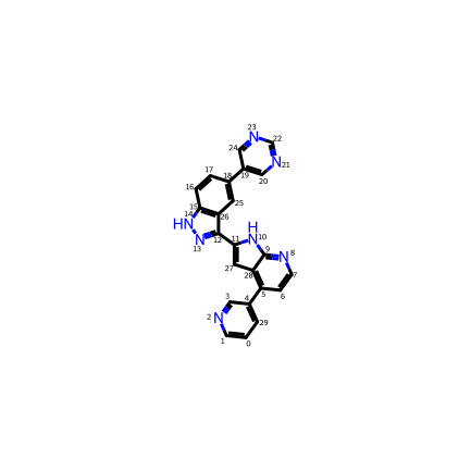 c1cncc(-c2ccnc3[nH]c(-c4n[nH]c5ccc(-c6cncnc6)cc45)cc23)c1